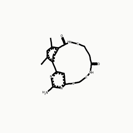 Cc1cc(C)c2cc1C(=O)NCCCC(=O)NCCSc1cc-2nc(N)n1